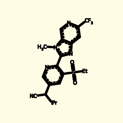 CCS(=O)(=O)c1cc(C(C#N)C(C)C)cnc1-c1nc2cc(C(F)(F)F)ncc2n1C